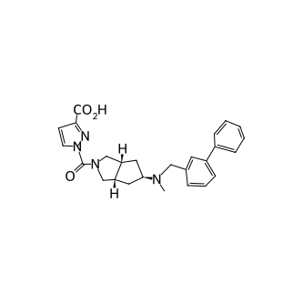 CN(Cc1cccc(-c2ccccc2)c1)[C@H]1C[C@@H]2CN(C(=O)n3ccc(C(=O)O)n3)C[C@@H]2C1